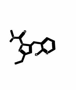 CCc1cc(Cc2cccnc2Cl)n(C(=O)N(C)C)n1